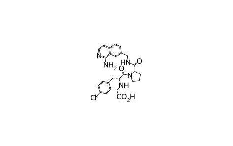 Nc1nccc2ccc(CNC(=O)[C@@H]3CCCN3C(=O)[C@@H](Cc3ccc(Cl)cc3)NCC(=O)O)cc12